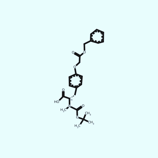 CN(C(=O)OC(C)(C)C)[C@@H](Cc1ccc(OCC(=O)OCc2ccccc2)cc1)C(=O)O